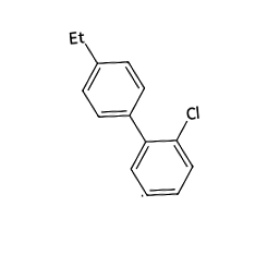 CCc1ccc(-c2c[c]ccc2Cl)cc1